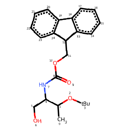 CC(OC(C)(C)C)C(CO)NC(=O)OCC1c2ccccc2-c2ccccc21